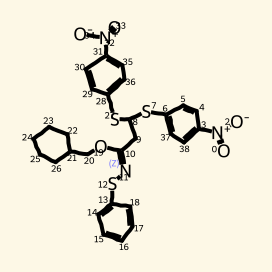 O=[N+]([O-])c1ccc(SC(C/C(=N/Sc2ccccc2)OCC2CCCCC2)Sc2ccc([N+](=O)[O-])cc2)cc1